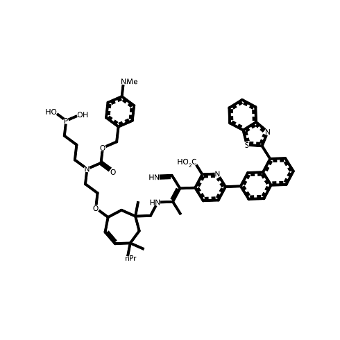 CCCC1(C)C=CC(OCCN(CCCP(O)O)C(=O)OCc2ccc(NC)cc2)CC(C)(CN/C(C)=C(\C=N)c2ccc(-c3ccc4cccc(-c5nc6ccccc6s5)c4c3)nc2C(=O)O)C1